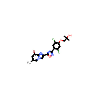 CC(C)(O)COc1cc(Cl)c(-c2noc(-c3cn4cc(C(F)(F)F)cc(Br)c4n3)n2)cc1Cl